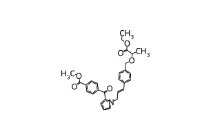 CCOC(=O)C(C)OCc1ccc(C=CCn2cccc2C(=O)c2ccc(C(=O)OC)cc2)cc1